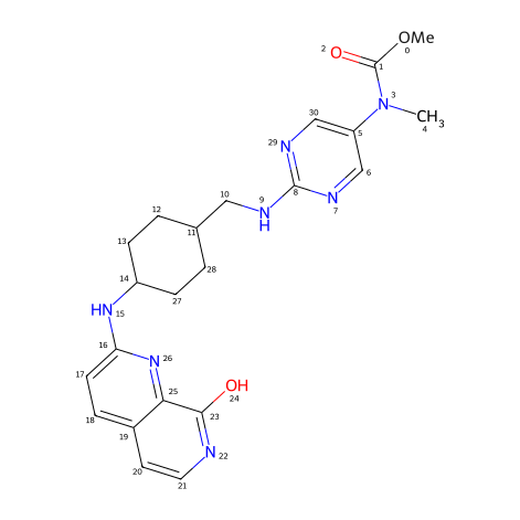 COC(=O)N(C)c1cnc(NCC2CCC(Nc3ccc4ccnc(O)c4n3)CC2)nc1